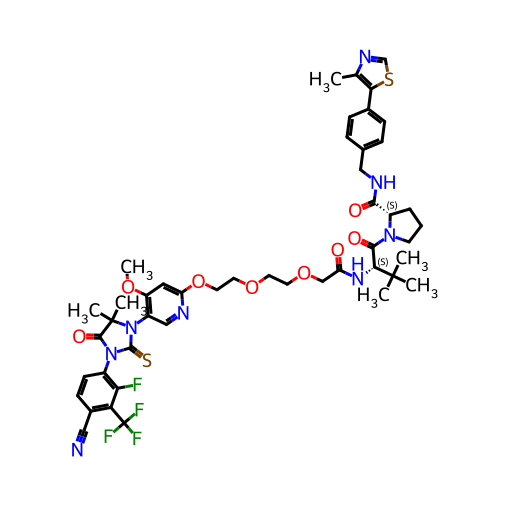 COc1cc(OCCOCCOCC(=O)N[C@H](C(=O)N2CCC[C@H]2C(=O)NCc2ccc(-c3scnc3C)cc2)C(C)(C)C)ncc1N1C(=S)N(c2ccc(C#N)c(C(F)(F)F)c2F)C(=O)C1(C)C